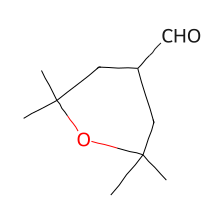 CC1(C)CC(C=O)CC(C)(C)O1